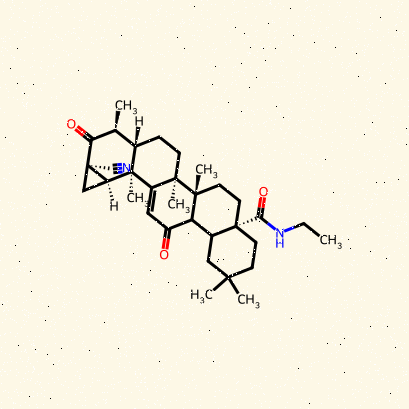 CCNC(=O)[C@]12CCC(C)(C)CC1C1C(=O)C=C3[C@@]4(C)[C@H]5C[C@@]5(C#N)C(=O)[C@@H](C)[C@@H]4CC[C@@]3(C)[C@]1(C)CC2